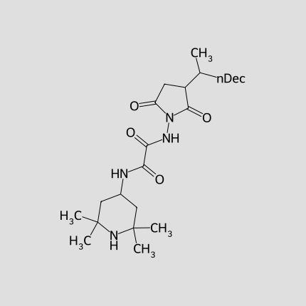 CCCCCCCCCCC(C)C1CC(=O)N(NC(=O)C(=O)NC2CC(C)(C)NC(C)(C)C2)C1=O